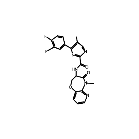 Cc1cnc(C(=O)NC2COc3cccnc3N(C)C2=O)nc1-c1ccc(F)c(F)c1